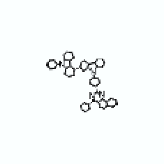 c1ccc(-c2nc(-c3ccc(-n4c5ccccc5c5ccc(-c6cccc7c6c6ccccc6n7-c6ccccc6)cc54)cc3)nc3c2ccc2ccccc23)cc1